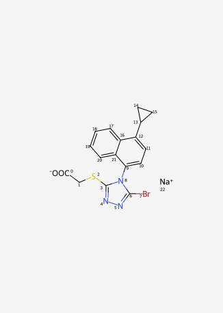 O=C([O-])CSc1nnc(Br)n1-c1ccc(C2CC2)c2ccccc12.[Na+]